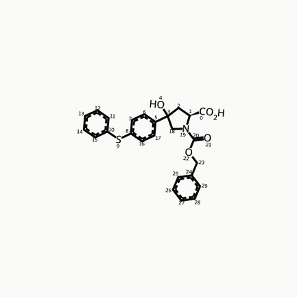 O=C(O)[C@@H]1CC(O)(c2ccc(Sc3ccccc3)cc2)CN1C(=O)OCc1ccccc1